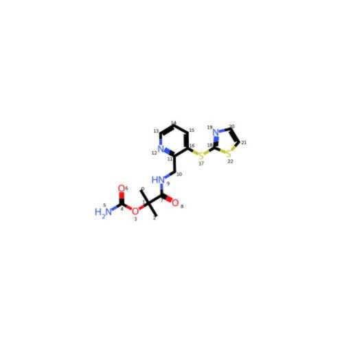 CC(C)(OC(N)=O)C(=O)NCc1ncccc1Sc1nccs1